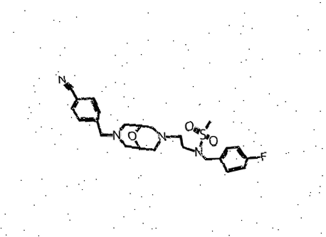 CS(=O)(=O)N(CCN1CC2CN(Cc3ccc(C#N)cc3)CC(C1)O2)Cc1ccc(F)cc1